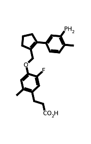 Cc1ccc(C2=C(COc3cc(C)c(CCC(=O)O)cc3F)CCC2)cc1P